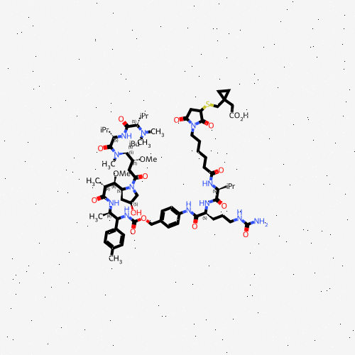 CC[C@H](C)[C@@H]([C@@H](CC(=O)N1C[C@@H](O)C[C@H]1[C@H](OC)[C@@H](C)C(=O)N[C@H](C)C(NC(=O)OCc1ccc(NC(=O)[C@H](CCCNC(N)=O)NC(=O)[C@@H](NC(=O)CCCCCN2C(=O)CC(SCC3(CC(=O)O)CC3)C2=O)C(C)C)cc1)c1ccc(C)cc1)OC)N(C)C(=O)[C@@H](NC(=O)[C@H](C(C)C)N(C)C)C(C)C